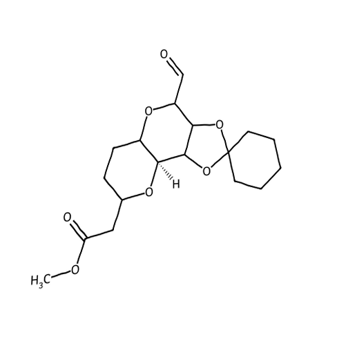 COC(=O)CC1CCC2OC(C=O)C3OC4(CCCCC4)OC3[C@H]2O1